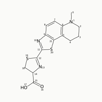 CN1CCCc2c1ccc1nc(C3=NC(C(=O)O)CS3)sc21